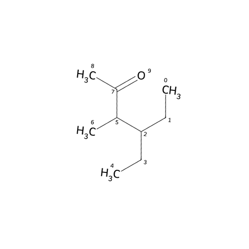 CCC(CC)C(C)C(C)=O